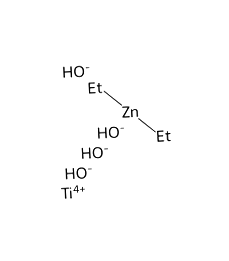 C[CH2][Zn][CH2]C.[OH-].[OH-].[OH-].[OH-].[Ti+4]